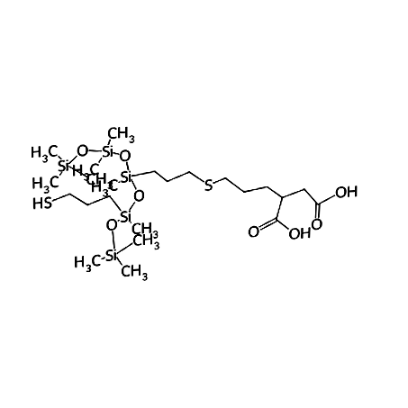 C[Si](C)(C)O[Si](C)(C)O[Si](C)(CCCSCCCC(CC(=O)O)C(=O)O)O[Si](C)(CCCS)O[Si](C)(C)C